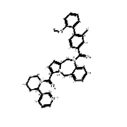 COc1ccccc1-c1ccc(C(=O)N2Cc3ccc(C(=O)N4CCCCC4c4cccnc4)n3Cc3ccccc32)cc1C